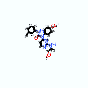 COCC(C)Nc1nccc(N(C(=O)Nc2cccc(C)c2)c2ccc(OC)cc2)n1